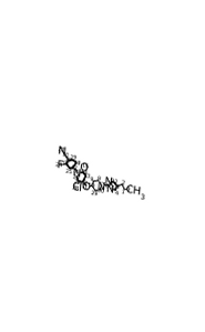 CCCc1cnc(N2CCC(Oc3cc(=O)n(-c4ccc(C#N)c(F)c4)cc3Cl)CC2)nc1